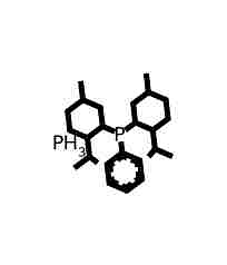 CC1CCC(C(C)C)C(P(c2ccccc2)C2CC(C)CCC2C(C)C)C1.P